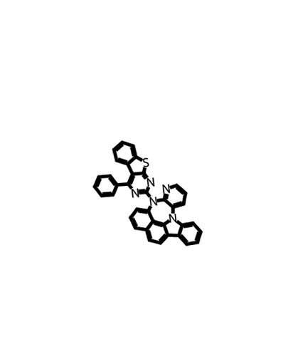 c1ccc(-c2nc(-n3c4cccc5ccc6c7ccccc7n(c7cccnc73)c6c54)nc3sc4ccccc4c23)cc1